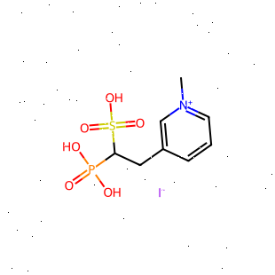 C[n+]1cccc(CC(P(=O)(O)O)S(=O)(=O)O)c1.[I-]